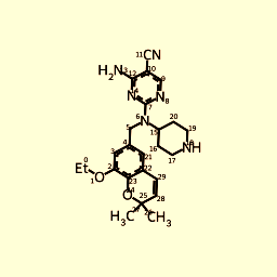 CCOc1cc(CN(c2ncc(C#N)c(N)n2)C2CCNCC2)cc2c1OC(C)(C)C=C2